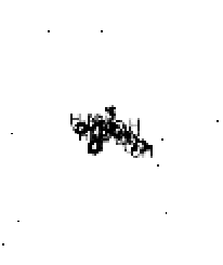 CC(C)C[C@H](NC(=O)[C@H](C)NC(=O)[C@H](Cc1c[nH]c2ccccc12)NC(=O)[C@H](CC(C)C)NC(=O)[C@@H](N)Cc1ccccc1)C(=O)O